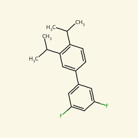 CC(C)c1ccc(-c2cc(F)cc(F)c2)cc1C(C)C